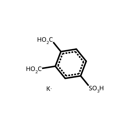 O=C(O)c1ccc(S(=O)(=O)O)cc1C(=O)O.[K]